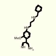 COc1cc(NCCCNCc2ccccc2)ccc1/C(C=N)=C/N